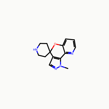 Cn1ncc2c1-c1ncccc1OC21CCNCC1